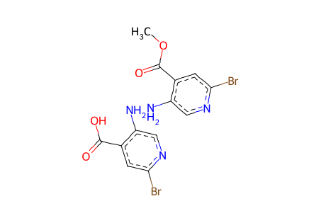 COC(=O)c1cc(Br)ncc1N.Nc1cnc(Br)cc1C(=O)O